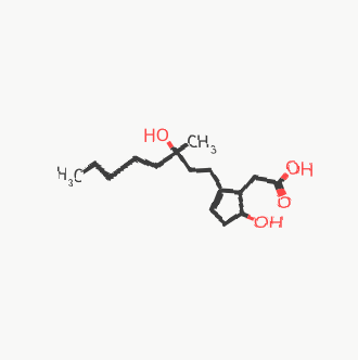 CCCCCC(C)(O)CCC1=CCC(O)C1CC(=O)O